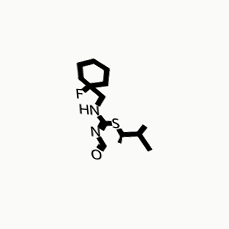 CC(C)[C@@H](C)S/C(=N\C=O)NCC1(F)CCCCC1